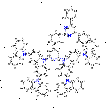 c1ccc(-c2cc(-c3ccccc3)nc(-c3cccc(-c4cc(-n5c6ccc(-n7c8ccccc8c8ccccc87)cc6c6cc(-n7c8ccccc8c8ccccc87)ccc65)nc(-n5c6ccc(-n7c8ccccc8c8ccccc87)cc6c6cc(-n7c8ccccc8c8ccccc87)ccc65)c4)c3)n2)cc1